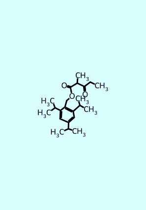 CCC(=O)C(C)C(=O)OCc1c(C(C)C)cc(C(C)C)cc1C(C)C